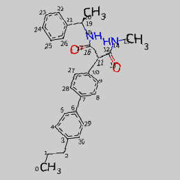 CCCc1ccc(-c2ccc(C(C(=O)NC)C(=O)N[C@H](C)c3ccccc3)cc2)cc1